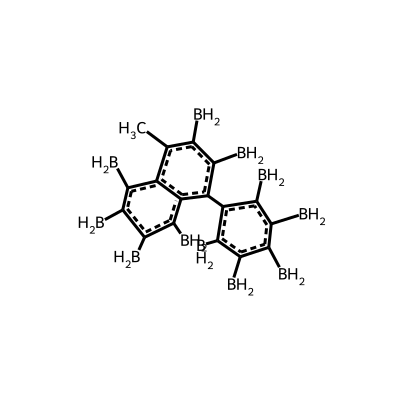 Bc1c(B)c(B)c(-c2c(B)c(B)c(C)c3c(B)c(B)c(B)c(B)c23)c(B)c1B